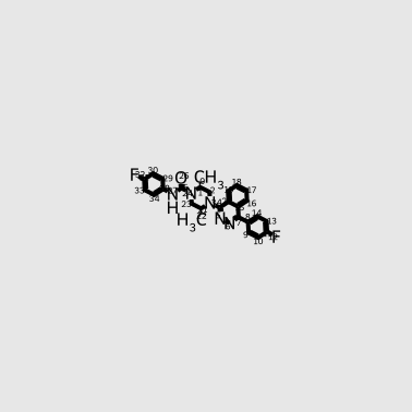 C[C@@H]1CN(c2nnc(-c3ccc(F)cc3)c3ccccc23)[C@H](C)CN1C(=O)Nc1ccc(F)cc1